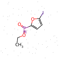 CCO[PH](=O)c1ccc(I)o1